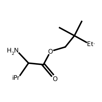 C[CH]C(C)(C)COC(=O)C(N)C(C)C